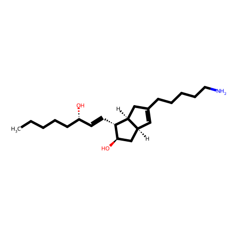 CCCCC[C@H](O)/C=C/[C@@H]1[C@H]2CC(CCCCCN)=C[C@H]2C[C@H]1O